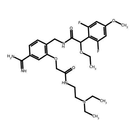 CCOC(C(=O)NCc1ccc(C(=N)N)cc1OCC(=O)NCCN(CC)CC)c1c(F)cc(OC)cc1F